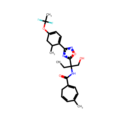 CC1=CC=C(C(=O)NC(CO)(CN=O)c2nc(C3=CC=C(OC(C)(F)F)CC3C)no2)CC=C1